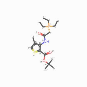 CC[PH](CC)(CC)CC(=O)Nc1c(C)csc1C(=O)OC(C)(C)C